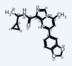 Cc1cc(-c2ccc3c(c2)OCO3)nc2c(C(=O)NC(C)C3CC3)ncn12